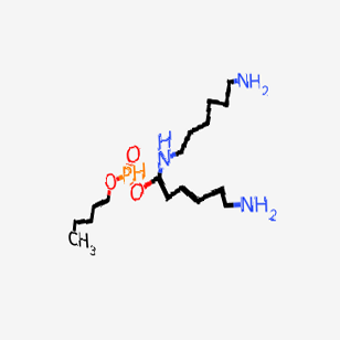 CCCCCO[PH](=O)OC(CCCCCN)NCCCCCCN